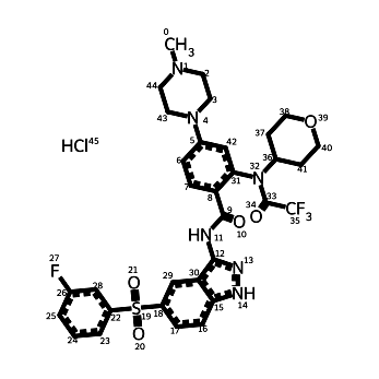 CN1CCN(c2ccc(C(=O)Nc3n[nH]c4ccc(S(=O)(=O)c5cccc(F)c5)cc34)c(N(C(=O)C(F)(F)F)C3CCOCC3)c2)CC1.Cl